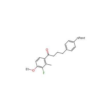 CCCCCc1ccc(CCCC(=O)c2ccc(OCC)c(F)c2C)cc1